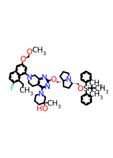 CCc1c(F)ccc2cc(OCOC)cc(N3CCc4c(nc(OC[C@]56CCCN5[C@H](CO[Si](c5ccccc5)(c5ccccc5)C(C)(C)C)CC6)nc4N4CCC[C@@](C)(O)C4)C3)c12